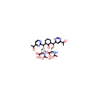 CC(=O)N[C@@H](CSC(c1cc(C(C)=O)ncn1)C1CCCC(C(SC[C@H](NC(C)=O)C(=O)O)c2nccc(C(C)=O)n2)C1=O)C(=O)O